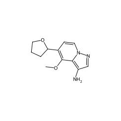 COc1c(C2CCCO2)ccn2ncc(N)c12